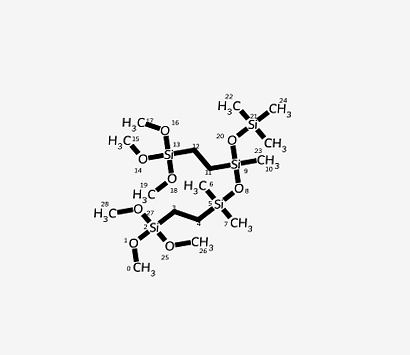 CO[Si](CC[Si](C)(C)O[Si](C)(CC[Si](OC)(OC)OC)O[Si](C)(C)C)(OC)OC